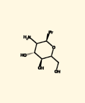 CC(C)[C@H]1OC(CO)[C@@H](O)[C@H](O)C1N